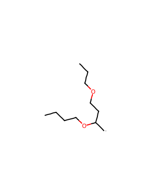 [CH2]C(CCOCCC)OCCCC